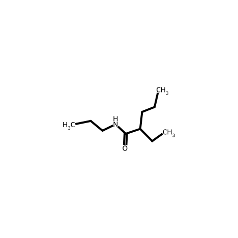 CCCNC(=O)C(CC)CCC